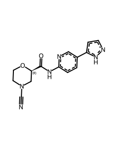 N#CN1CCO[C@@H](C(=O)Nc2ccc(-c3ccn[nH]3)cn2)C1